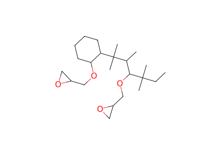 CCC(C)(C)C(OCC1CO1)C(C)C(C)(C)C1CCCCC1OCC1CO1